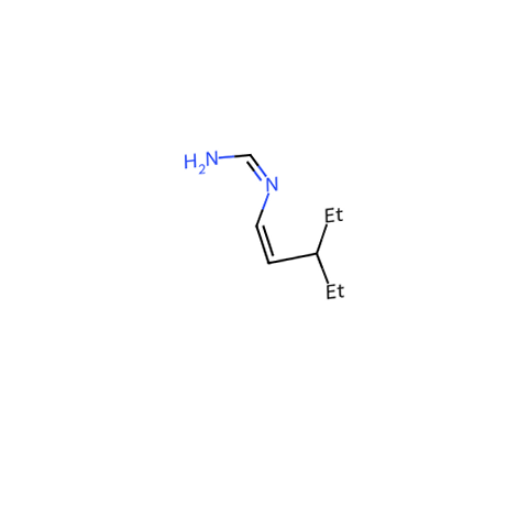 CCC(/C=C\N=C/N)CC